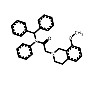 COc1cccc2c1CN(CC(=O)N(c1ccccc1)C(c1ccccc1)c1ccccc1)CC2